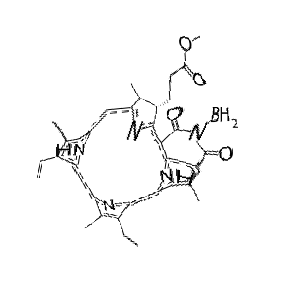 BN1C(=O)c2c3nc(cc4[nH]c(cc5nc(cc6[nH]c2c(c6C)C1=O)C(CC)=C5C)c(C=C)c4C)C(C)[C@@H]3CCC(=O)OC